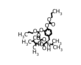 CCCOC(=O)Oc1ccc(C[C@](NC(C)C)(OC(=O)OC(C)C(C)C)C(=O)O)cc1OC(=O)OCCC